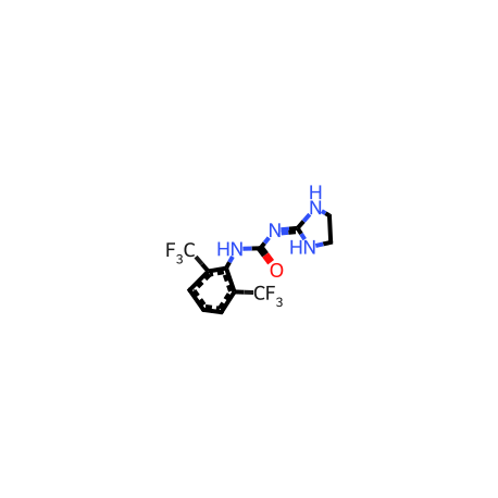 O=C(N=C1NCCN1)Nc1c(C(F)(F)F)cccc1C(F)(F)F